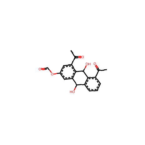 CC(=O)c1cccc2c1C(O)c1c(C(C)=O)cc(OC=O)cc1C2O